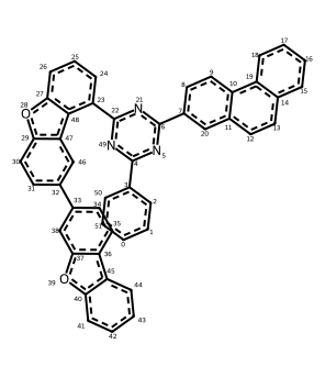 c1ccc(-c2nc(-c3ccc4c(ccc5ccccc54)c3)nc(-c3cccc4oc5ccc(-c6ccc7c(c6)oc6ccccc67)cc5c34)n2)cc1